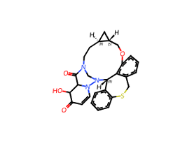 O=C1C=CN2C(C(=O)N3CC[C@H]4C[C@@H]4COc4cccc5c4[C@H](c4ccccc4SC5)N2C3)C1O